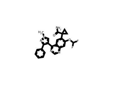 Cn1cc(-c2ncnc3cc(OC(F)F)c(C4(C(N)=O)CC4)cc23)c(-c2ccccc2)n1